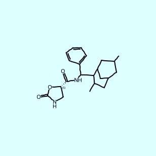 CC1CC2CC(C)C(C(NC(=O)[C@@H]3CNC(=O)O3)c3ccccc3)C(C1)C2